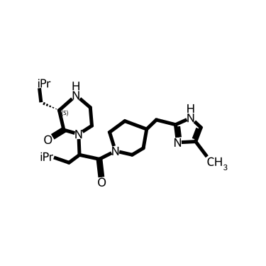 Cc1c[nH]c(CC2CCN(C(=O)C(CC(C)C)N3CCN[C@@H](CC(C)C)C3=O)CC2)n1